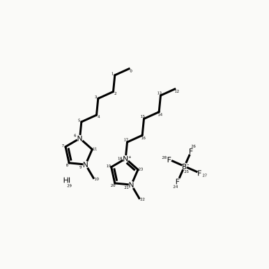 CCCCCCN1C=CN(C)C1.CCCCCC[n+]1ccn(C)c1.F[B-](F)(F)F.I